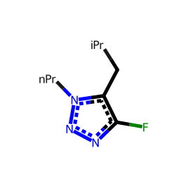 CCCn1nnc(F)c1CC(C)C